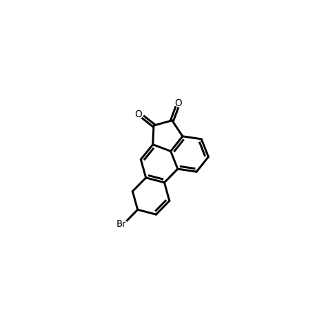 O=C1C(=O)c2cc3c(c4cccc1c24)C=CC(Br)C3